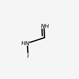 N=CNI